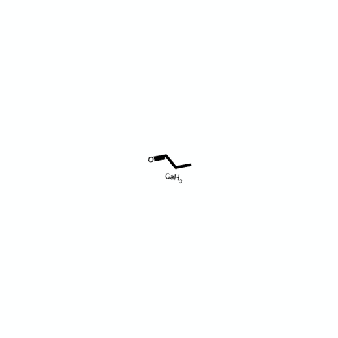 CCC=O.[GaH3]